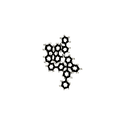 c1ccc(-c2ccc(C3(c4ccc(-c5ccccc5)cc4)c4ccccc4-c4ccc(N(c5ccc6c(c5)sc5ccccc56)c5cccc6c5-c5ccccc5C65c6ccccc6-c6ccccc65)cc43)cc2)cc1